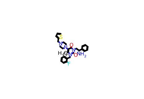 Cc1c(N2CCN(Cc3cccs3)CC2)c(=O)n(C[C@H](N)c2ccccc2)c(=O)n1Cc1c(F)cccc1C(F)(F)F